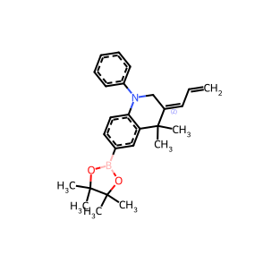 C=C/C=C1\CN(c2ccccc2)c2ccc(B3OC(C)(C)C(C)(C)O3)cc2C1(C)C